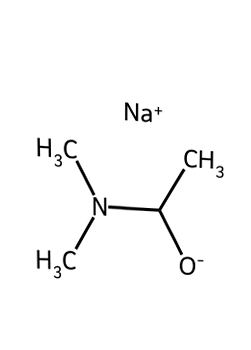 CC([O-])N(C)C.[Na+]